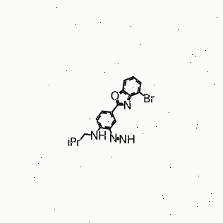 CC(C)CNc1ccc(-c2nc3c(Br)cccc3o2)cc1N=N